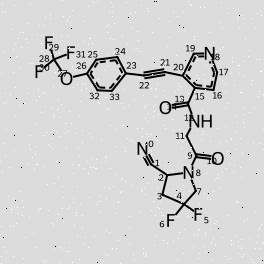 N#CC1CC(F)(F)CN1C(=O)CNC(=O)c1ccncc1C#Cc1ccc(OC(F)(F)F)cc1